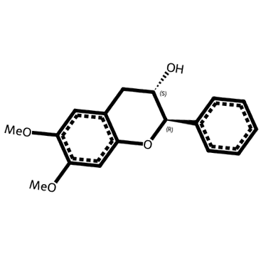 COc1cc2c(cc1OC)O[C@H](c1ccccc1)[C@@H](O)C2